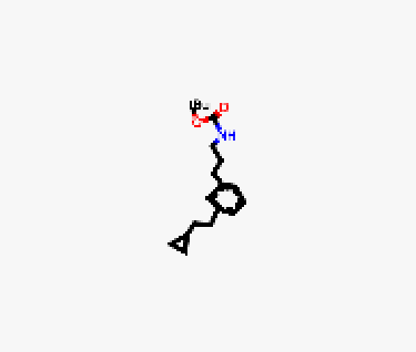 CC(C)(C)OC(=O)NCCCc1cccc(CCC2CC2)c1